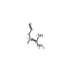 C=CC[N+](C)=C(N)S